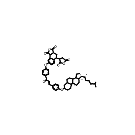 CC(C)CCC[C@@H](C)[C@H]1CCC2C3CCC4CC(Oc5ccc(C=CC(=O)c6ccc(Oc7ccc8c(c7)C7C(=O)OC(=O)C7CC8C7CC(=O)OC7=O)cc6)cc5)CC[C@]4(C)C3CC[C@@]21C